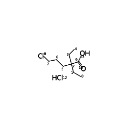 CCC(CC)(CCCCl)C(=O)O.Cl